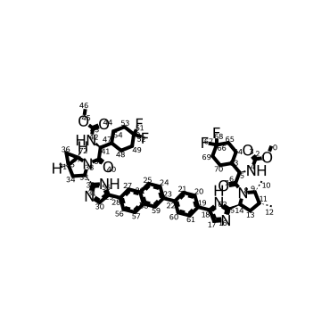 COC(=O)N[C@H](C(=O)N1[C@H](C)[C@H](C)C[C@H]1c1ncc(-c2ccc(-c3ccc4cc(-c5cnc([C@@H]6C[C@H]7C[C@H]7N6C(=O)[C@@H](NC(=O)OC)C6CCC(F)(F)CC6)[nH]5)ccc4c3)cc2)[nH]1)C1CCC(F)(F)CC1